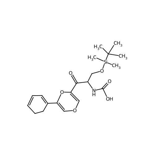 CC(C)(C)[Si](C)(C)OCC(NC(=O)O)C(=O)C1=COC=C(C2=CC=CCC2)O1